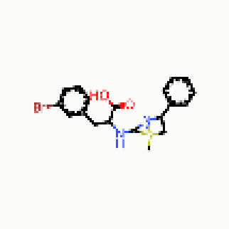 CS12CC(c3ccccc3)N1C2NC(Cc1cccc(Br)c1)C(=O)O